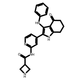 O=C1CCCc2[nH]c(-c3ccnc(NC(=O)C4CNC4)c3)c(Nc3ccccc3)c21